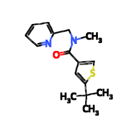 CN(Cc1ccccn1)C(=O)c1csc(C(C)(C)C)c1